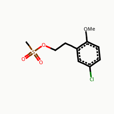 COc1ccc(Cl)cc1CCOS(C)(=O)=O